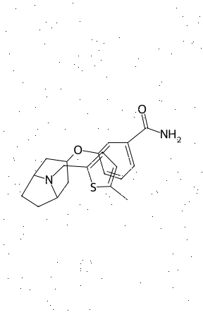 Cc1ccc(CN2C3CCC2CC(Oc2cccc(C(N)=O)c2)C3)s1